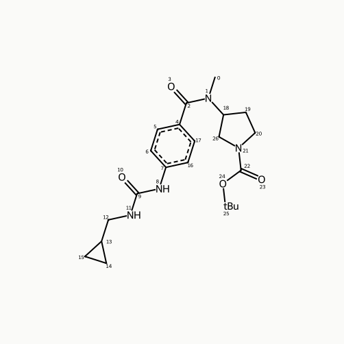 CN(C(=O)c1ccc(NC(=O)NCC2CC2)cc1)C1CCN(C(=O)OC(C)(C)C)C1